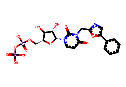 O=c1ccn([C@@H]2O[C@H](COP(=O)(O)OP(=O)(O)O)C(O)[C@@H]2O)c(=O)n1Cc1ncc(-c2ccccc2)o1